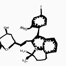 COc1cc(F)ccc1-c1c(/C=C/C2CC(O)CC(=O)O2)n2c3c(cccc13)CCC2(C)C